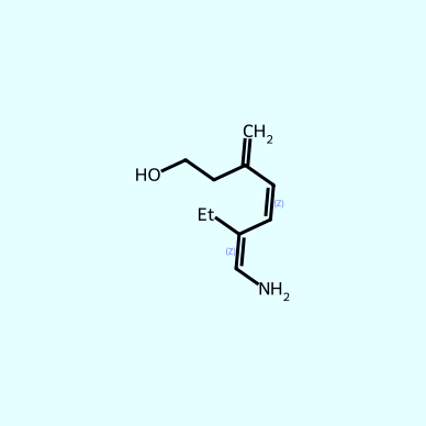 C=C(/C=C\C(=C/N)CC)CCO